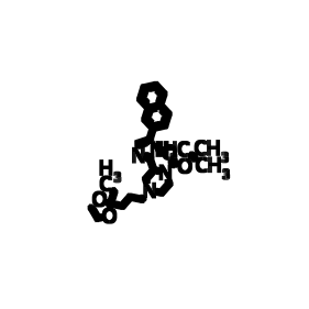 CCC1(CCCN2CCN(C(=O)OC(C)(C)C)C(c3ncc(-c4ccc5ccccc5c4)[nH]3)C2)OCCO1